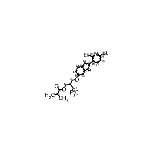 C=C(C)C(=O)OCC(COc1ccc2cc(-c3ccc(CC)nc3CC)sc2c1)CC(F)(F)F